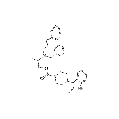 CC(COC(=O)N1CCC(n2c(=O)[nH]c3ccccc32)CC1)N(CCCc1ccccc1)Cc1ccccc1